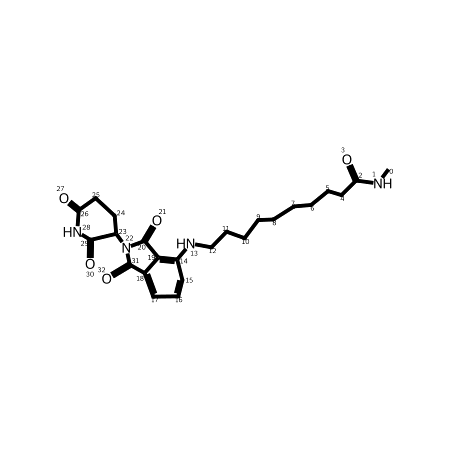 CNC(=O)CCCCCCCCCNc1cccc2c1C(=O)N(C1CCC(=O)NC1=O)C2=O